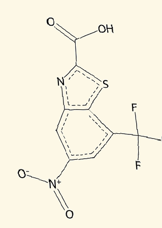 O=C(O)c1nc2cc([N+](=O)[O-])cc(C(F)(F)F)c2s1